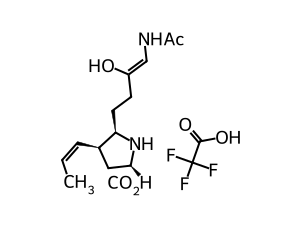 C/C=C\[C@@H]1C[C@H](C(=O)O)N[C@@H]1CC/C(O)=C/NC(C)=O.O=C(O)C(F)(F)F